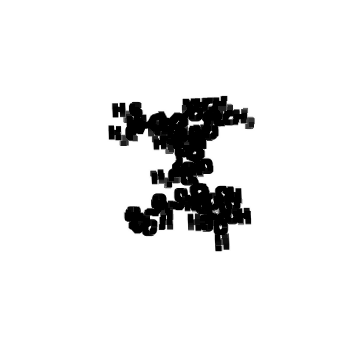 CCn1nc(C)cc1C(=O)Nc1nc2cc(C(N)=O)cc(OCCCN(C)C(=O)OCc3ccc(O[C@@H]4O[C@H](C(=O)O)[C@@H](O)[C@H](O)[C@H]4O)c(NC(=O)CCNC(=O)CCN4C(=O)C=CC4=O)c3)c2n1C[C@@H]1C[C@H]1Cn1c2nc(-c3cc(C)nn3CC)ccc2c2cc(C(N)=O)cc(OC)c21